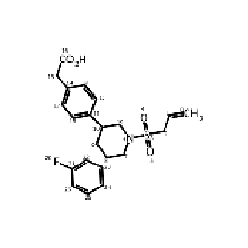 C=CCS(=O)(=O)N1CCCC(c2ccc(CC(=O)O)cc2)C1.Fc1ccccc1